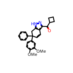 COc1ccc(C2(c3ccccc3)C=Cc3c(C(=O)C4CCC4)n[nH]c3C2)cc1OC